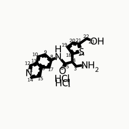 Cl.Cl.NCC(C(=O)Nc1ccc2cnccc2c1)c1ccc(CO)s1